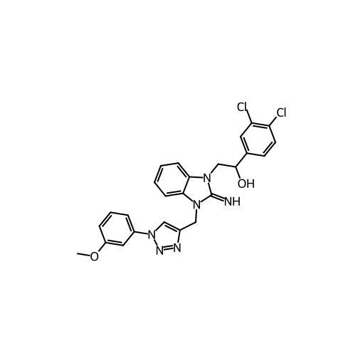 COc1cccc(-n2cc(Cn3c(=N)n(CC(O)c4ccc(Cl)c(Cl)c4)c4ccccc43)nn2)c1